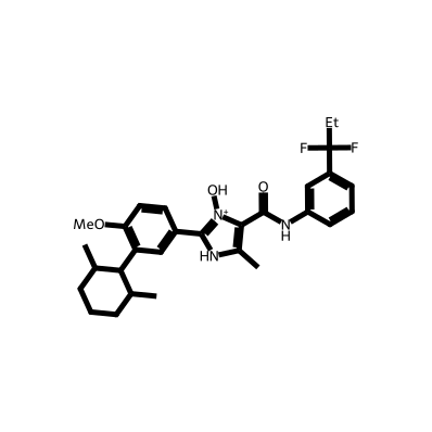 CCC(F)(F)c1cccc(NC(=O)c2c(C)[nH]c(-c3ccc(OC)c(C4C(C)CCCC4C)c3)[n+]2O)c1